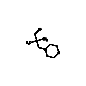 CC(C)(C[O])CN1CCOCC1